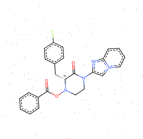 O=C(ON1CCN(c2cn3ccccc3n2)C(=O)[C@H]1Cc1ccc(F)cc1)c1ccccc1